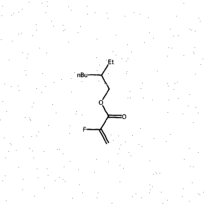 C=C(F)C(=O)OCC(CC)CCCC